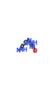 COCCn1cc(Nc2nc(C)c3c(n2)N(Cc2cccc(NC#N)c2)CC3)cn1